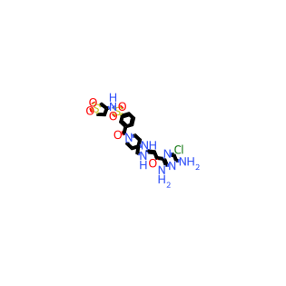 Nc1nc(N)c(C(=O)/C=C2\NCC3(CCN(C(=O)c4cccc(S(=O)(=O)NC5CCS(=O)(=O)C5)c4)CC3)N2)nc1Cl